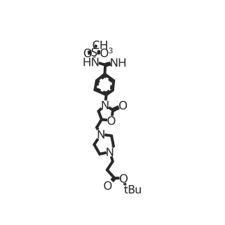 CC(C)(C)OC(=O)CCN1CCN(CC2CN(c3ccc(C(=N)NS(C)(=O)=O)cc3)C(=O)O2)CC1